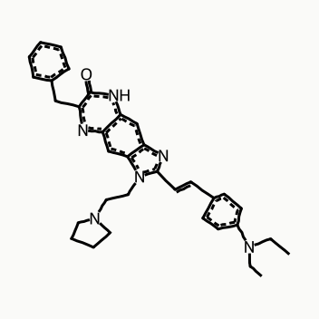 CCN(CC)c1ccc(/C=C/c2nc3cc4[nH]c(=O)c(Cc5ccccc5)nc4cc3n2CCN2CCCC2)cc1